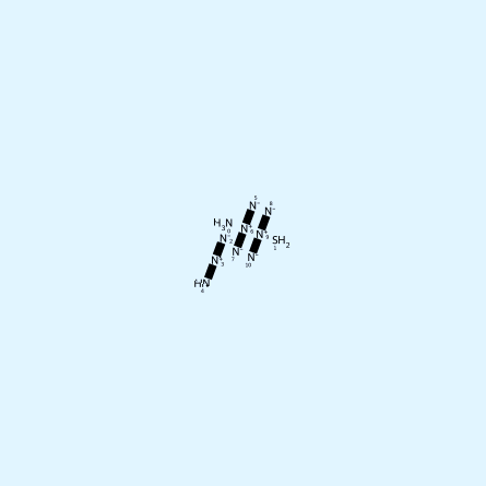 N.S.[N-]=[N+]=N.[N-]=[N+]=[N-].[N-]=[N+]=[N-]